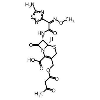 CO/N=C(\C(=O)N[C@@H]1C(=O)N2C(C(=O)O)=C(COC(=O)CC(C)=O)CS[C@H]12)c1nsc(N)n1